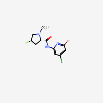 O=C(Nc1cc(Cl)cc(Br)n1)[C@@H]1C[C@@H](F)CN1C(=O)O